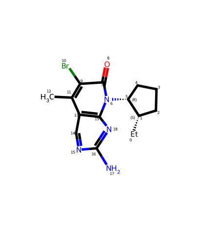 CC[C@H]1CCC[C@H]1n1c(=O)c(Br)c(C)c2cnc(N)nc21